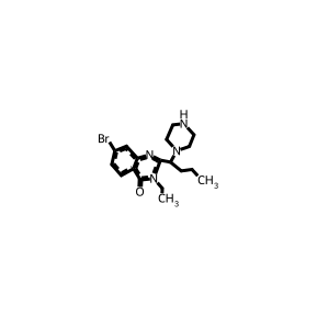 CCCC(c1nc2cc(Br)ccc2c(=O)n1CC)N1CCNCC1